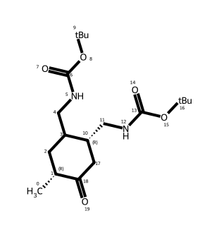 C[C@@H]1CC(CNC(=O)OC(C)(C)C)[C@H](CNC(=O)OC(C)(C)C)CC1=O